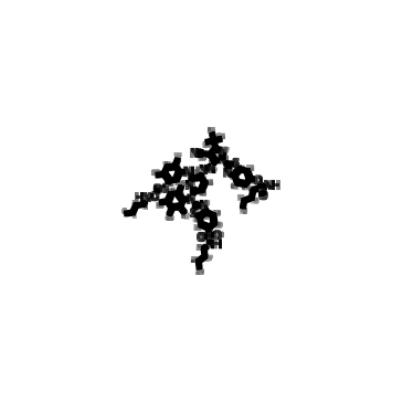 CCCCNOOSc1cc(Nc2nc(N(c3nc4ccc(S(=O)(=O)NCCCC)cc4s3)c3c(C)cc(C)c(C)c3C)ccc2N=Nc2c(C#N)c(C(C)(C)C)nn2-c2nc3ccc(OS(=N)(=O)CCCC)cc3s2)c(C)cc1C